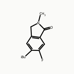 CCC(C)c1cc2c(cc1F)C(=O)N(C)C2